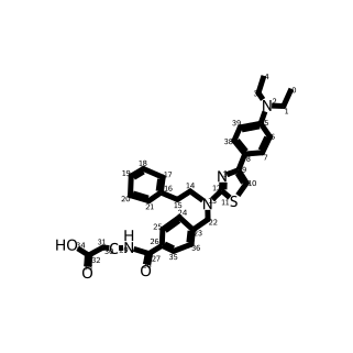 CCN(CC)c1ccc(-c2csc(N(CCc3ccccc3)Cc3ccc(C(=O)NCCC(=O)O)cc3)n2)cc1